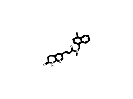 Cc1ccc(CN(C)C(=O)/C=C/c2cnc3c(c2)CCC(=O)N3)c2ccccc12